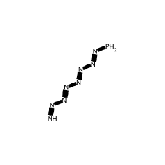 N=NN=NN=NN=NP